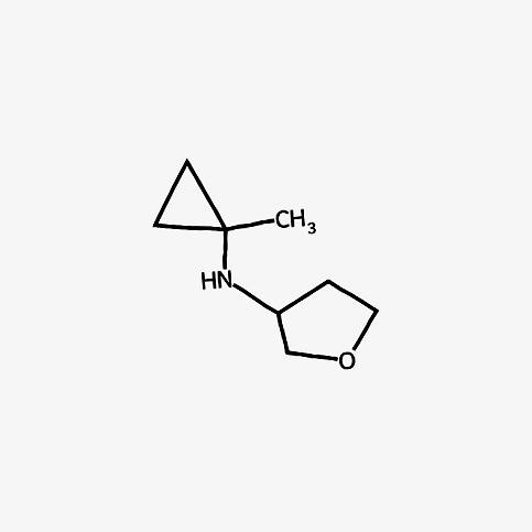 CC1(NC2CCOC2)CC1